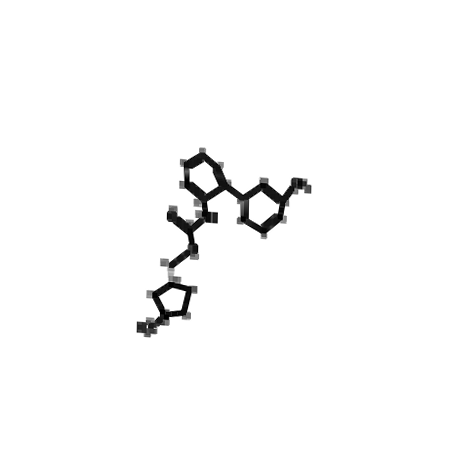 Cc1cccc(-c2ccccc2NC(=O)OC[C@@H]2CCN(C)C2)c1